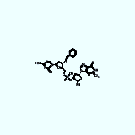 CC[C@H]1O[C@@H](n2cnc3c(=O)[nH]c(C)nc32)C[C@H]1OP(=O)(O)OC[C@H]1O[C@@H](n2cnc(N)nc2=O)C[C@H]1OCc1ccccc1